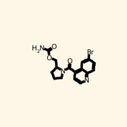 NC(=O)OCC1CCCN1C(=O)c1ccnc2ccc(Br)cc12